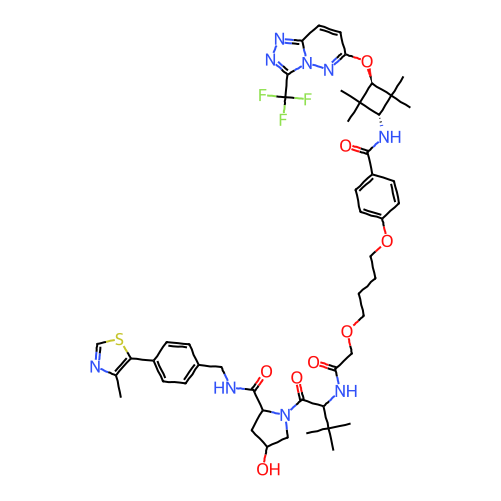 Cc1ncsc1-c1ccc(CNC(=O)C2CC(O)CN2C(=O)C(NC(=O)COCCCCOc2ccc(C(=O)N[C@H]3C(C)(C)[C@H](Oc4ccc5nnc(C(F)(F)F)n5n4)C3(C)C)cc2)C(C)(C)C)cc1